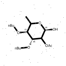 CCCCO[C@H]1C(C)O[C@@H](O)C(OC(C)=O)[C@@H]1OCCCC